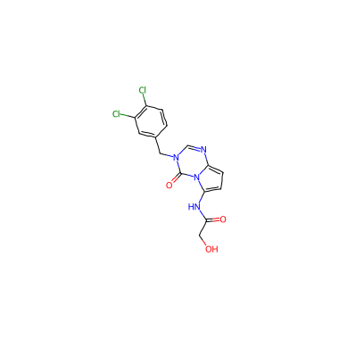 O=C(CO)Nc1ccc2ncn(Cc3ccc(Cl)c(Cl)c3)c(=O)n12